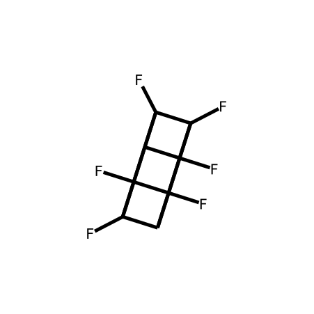 FC12C3C4(F)C1(F)C1C2(F)C3(F)C14F